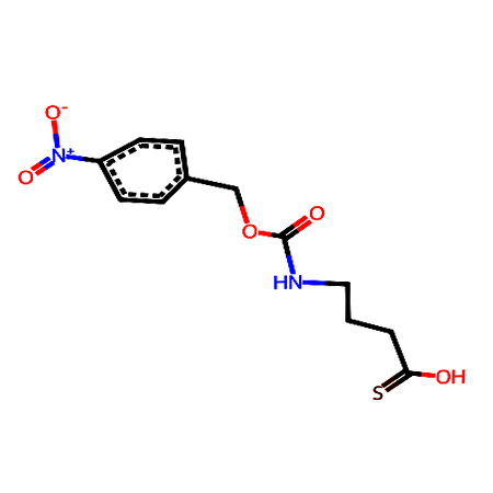 O=C(NCCCC(O)=S)OCc1ccc([N+](=O)[O-])cc1